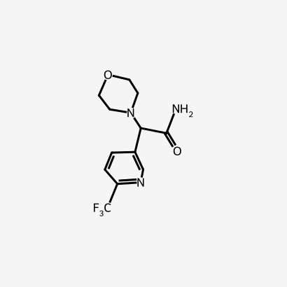 NC(=O)C(c1ccc(C(F)(F)F)nc1)N1CCOCC1